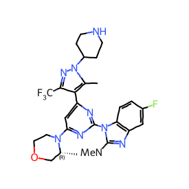 CNc1nc2cc(F)ccc2n1-c1nc(-c2c(C(F)(F)F)nn(C3CCNCC3)c2C)cc(N2CCOC[C@H]2C)n1